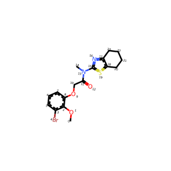 COc1c(Br)cccc1OCC(=O)N(C)c1nc2c(s1)CCCC2